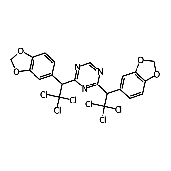 ClC(Cl)(Cl)C(c1ccc2c(c1)OCO2)c1ncnc(C(c2ccc3c(c2)OCO3)C(Cl)(Cl)Cl)n1